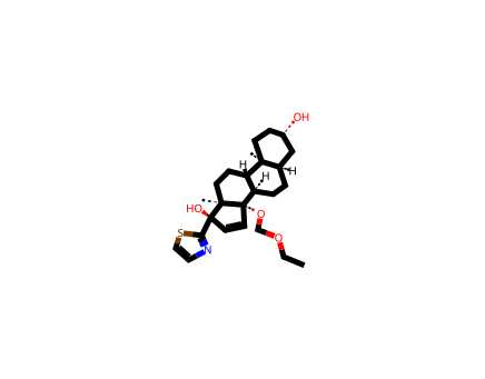 CCOCO[C@]12C=C[C@](O)(c3nccs3)[C@@]1(C)CC[C@H]1[C@H]2CC[C@@H]2C[C@@H](O)CC[C@@]21C